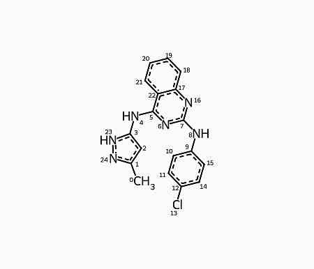 Cc1cc(Nc2nc(Nc3ccc(Cl)cc3)nc3ccccc23)[nH]n1